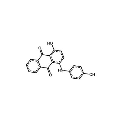 O=C1c2ccccc2C(=O)c2c(Nc3ccc(O)cc3)ccc(O)c21